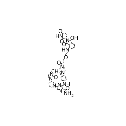 CN1CCN([C@@H]2CCCN(c3cnc(C(N)=O)c(Nc4ccc(N5CCN(C(=O)CCOCCNc6cccc7c6C(=O)N(C6CCC(=O)NC6=O)C7O)CC5)cc4)n3)C2)C1=O